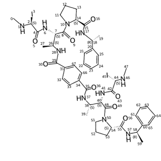 CN[C@@H](I)C(=O)N[C@H](C(=O)N1CCC[C@H]1C(=O)N[C@H](C)c1ccccc1)[C@H](C)NC(=O)c1ccc(C(=O)N[C@@H](C)[C@H](NC(=O)[C@H](I)NC)C(=O)N2CCC[C@H]2C(=O)N[C@H](C)c2ccccc2)cc1